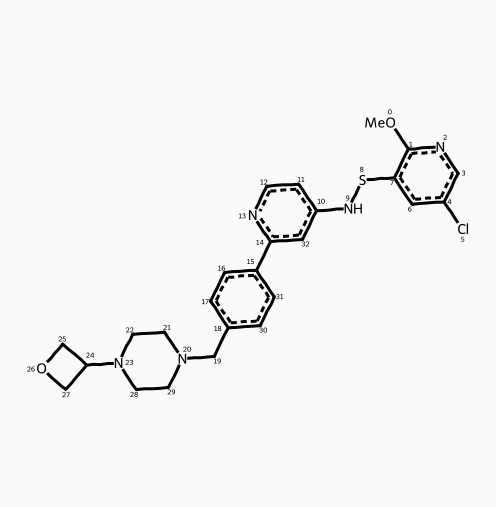 COc1ncc(Cl)cc1SNc1ccnc(-c2ccc(CN3CCN(C4COC4)CC3)cc2)c1